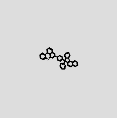 c1ccc(C2(c3ccc(-c4cc5c6c(cccc6c4)-c4ccccc4S5)cc3)c3ccccc3-c3c2ccc2ccccc32)cc1